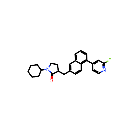 O=C1C(Cc2ccc3c(-c4ccnc(F)c4)cccc3c2)CCN1C1CCCCC1